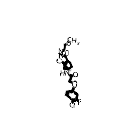 COCc1nnc(C23CC[C@@](NC(=O)COc4ccc(Cl)c(F)c4)(CC2=O)C3)o1